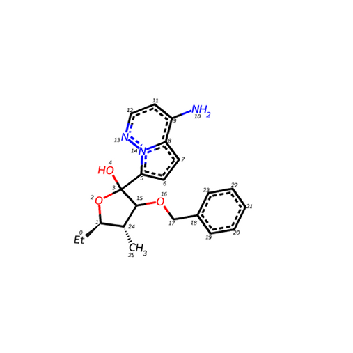 CC[C@H]1OC(O)(c2ccc3c(N)ccnn23)C(OCc2ccccc2)[C@@H]1C